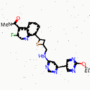 CCOc1ncc(-c2cc(NCC3CC(c4cccc5c(C(=O)NC)c(F)cnc45)S3)ncn2)cn1